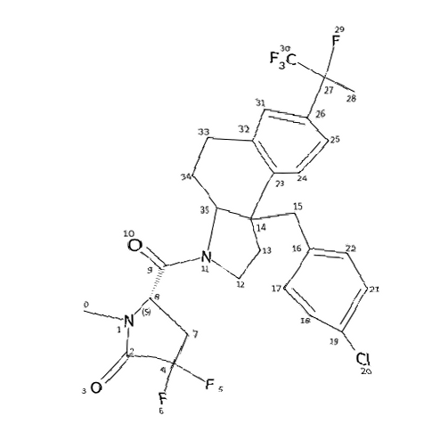 CN1C(=O)C(F)(F)C[C@H]1C(=O)N1CCC2(Cc3ccc(Cl)cc3)c3ccc(C(C)(F)C(F)(F)F)cc3CCC12